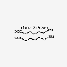 CC(C)(C)CCCCCC(=O)[O-].CC(C)(C)CCCCCC(=O)[O-].CCCC[CH2][Sn+2][CH2]CCCC